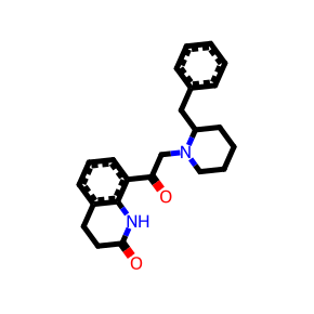 O=C1CCc2cccc(C(=O)CN3CCCCC3Cc3ccccc3)c2N1